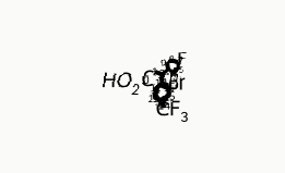 O=C(O)CC(c1ccc(F)cc1)c1ccc(C(F)(F)F)cc1Br